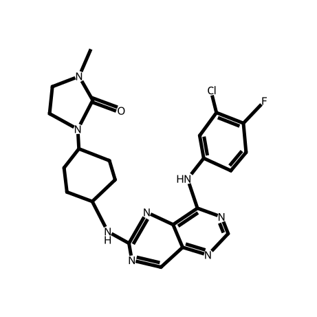 CN1CCN(C2CCC(Nc3ncc4ncnc(Nc5ccc(F)c(Cl)c5)c4n3)CC2)C1=O